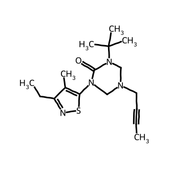 CC#CCN1CN(c2snc(CC)c2C)C(=O)N(C(C)(C)C)C1